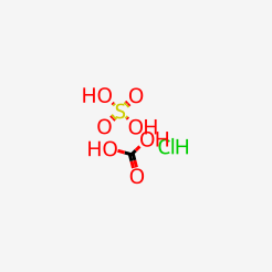 Cl.O=C(O)O.O=S(=O)(O)O